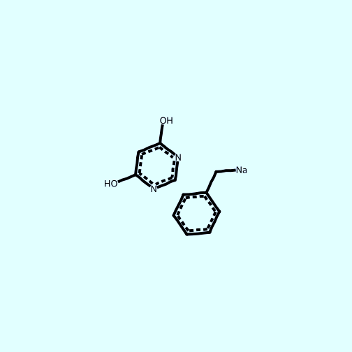 Oc1cc(O)ncn1.[Na][CH2]c1ccccc1